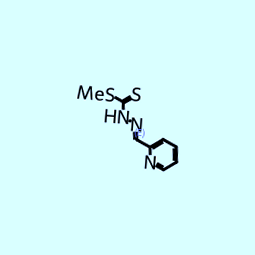 CSC(=S)N/N=C/c1ccccn1